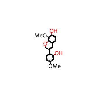 COc1ccc(C2=Cc3ccc(O)c(OC)c3OC2)c(O)c1